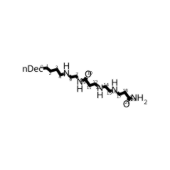 CCCCCCCCCCCCCCNCCNC(=O)CCNCCNCCC(N)=O